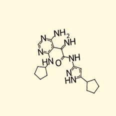 N=C(C(=O)Nc1cc(C2CCCC2)[nH]n1)c1c(N)ncnc1NC1CCCC1